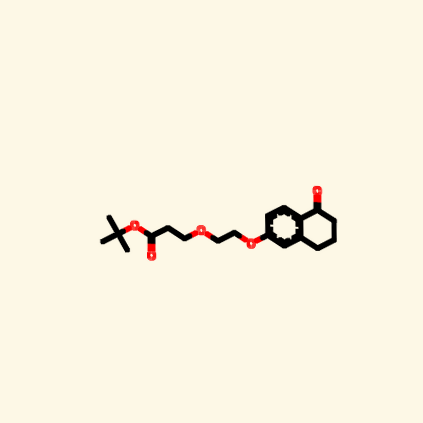 CC(C)(C)OC(=O)CCOCCOc1ccc2c(c1)CCCC2=O